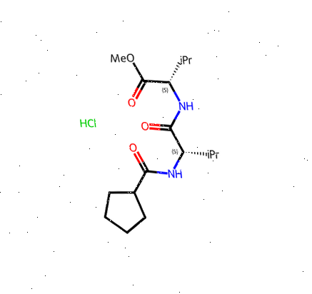 COC(=O)[C@@H](NC(=O)[C@@H](NC(=O)C1CCCC1)C(C)C)C(C)C.Cl